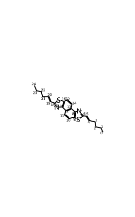 CCCC/C=C/c1nc2c(ccc3c2ccc2sc(/C=C/CCCC)nc23)s1